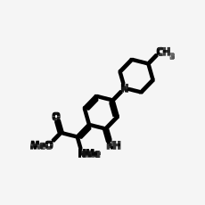 CN/C(C(=O)OC)=C1/C=CC(N2CCC(C)CC2)=CC1=N